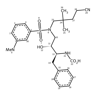 CNc1cccc(S(=O)(=O)N(C[C@@H](O)[C@H](Cc2ccccc2)NC(=O)O)CC(C)(C)CCC#N)c1